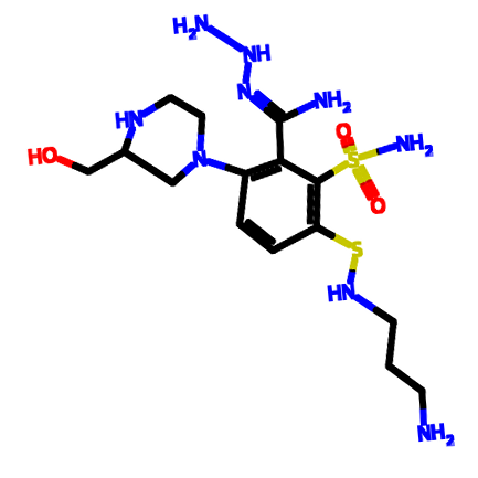 NCCCNSc1ccc(N2CCNC(CO)C2)c(/C(N)=N/NN)c1S(N)(=O)=O